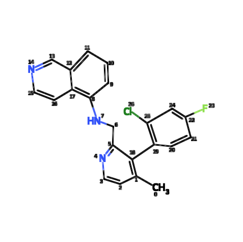 Cc1ccnc(CNc2cccc3cnccc23)c1-c1ccc(F)cc1Cl